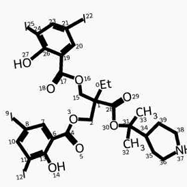 CCC(COC(=O)c1cc(I)cc(I)c1O)(COC(=O)c1cc(I)cc(I)c1O)C(=O)OC(C)(C)C1CCNCC1